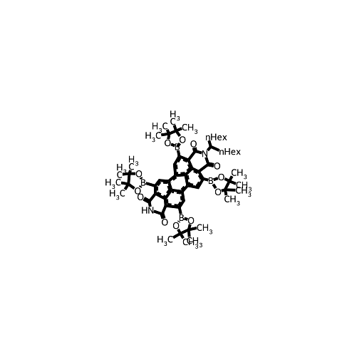 CCCCCCC(CCCCCC)N1C(=O)c2c(B3OC(C)(C)C(C)(C)O3)cc3c4cc(B5OC(C)(C)C(C)(C)O5)c5c6c(c(B7OC(C)(C)C(C)(C)O7)cc(c7cc(B8OC(C)(C)C(C)(C)O8)c(c2c37)C1=O)c64)C(=O)NC5=O